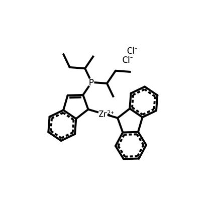 CCC(C)P(C1=Cc2ccccc2[CH]1[Zr+2][CH]1c2ccccc2-c2ccccc21)C(C)CC.[Cl-].[Cl-]